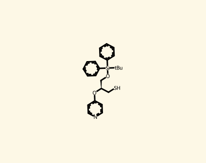 CC(C)(C)[Si](OC[C@@H](CS)Oc1ccncc1)(c1ccccc1)c1ccccc1